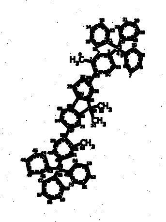 Cc1cc([Si](c2ccccc2)(c2ccccc2)c2ccccc2)ccc1-c1ccc2c(c1)C(C)(C)c1cc(-c3ccc([Si](c4ccccc4)(c4ccccc4)c4ccccc4)cc3C)ccc1-2